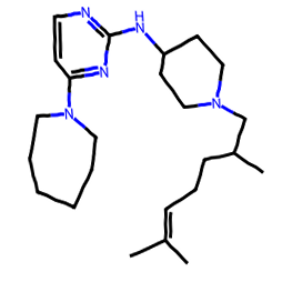 CC(C)=CCCC(C)CN1CCC(Nc2nccc(N3CCCCCC3)n2)CC1